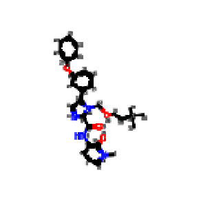 Cn1cccc(NC(=O)c2ncc(-c3cccc(Oc4ccccc4)c3)n2COCC[Si](C)(C)C)c1=O